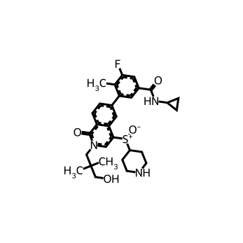 Cc1c(F)cc(C(=O)NC2CC2)cc1-c1ccc2c(=O)n(CC(C)(C)CO)cc([S+]([O-])C3CCNCC3)c2c1